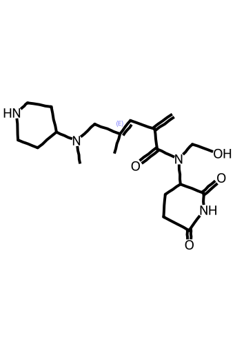 C=C(/C=C(\C)CN(C)C1CCNCC1)C(=O)N(CO)C1CCC(=O)NC1=O